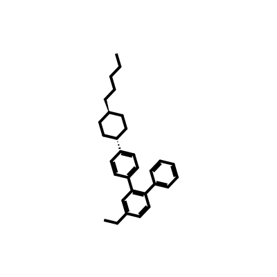 CCCCC[C@H]1CC[C@H](c2ccc(-c3cc(CC)ccc3-c3ccccc3)cc2)CC1